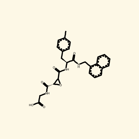 Cc1ccc(C[C@H](NC(=O)C2O[C@@H]2C(=O)NCC(=O)O)C(=O)NCc2cccc3ccccc23)cc1